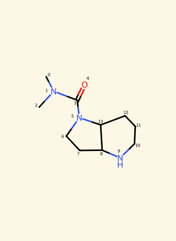 CN(C)C(=O)N1CCC2NCCCC21